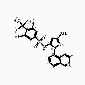 Cc1cc(NS(=O)(=O)c2cc(F)c(C(C)(C)C)c(F)c2)n(-c2cccc3cnccc23)n1